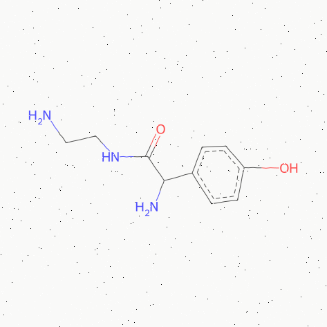 NCCNC(=O)C(N)c1ccc(O)cc1